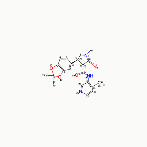 CN1C[C@H](c2ccc3c(c2)OC(F)(F)O3)[C@@H](C(=O)Nc2cnccc2C(F)(F)F)C1=O